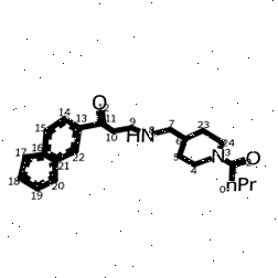 CCCC(=O)N1CCC(CNCCC(=O)c2ccc3ccccc3c2)CC1